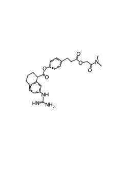 CN(C)C(=O)COC(=O)CCc1ccc(OC(=O)C2CCCc3ccc(NC(=N)N)cc32)cc1